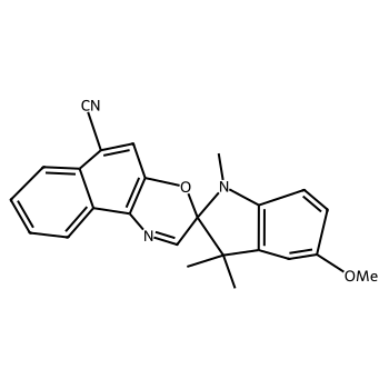 COc1ccc2c(c1)C(C)(C)C1(C=Nc3c(cc(C#N)c4ccccc34)O1)N2C